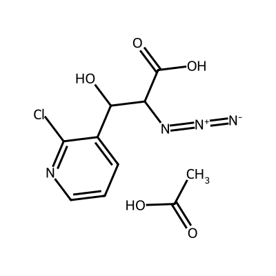 CC(=O)O.[N-]=[N+]=NC(C(=O)O)C(O)c1cccnc1Cl